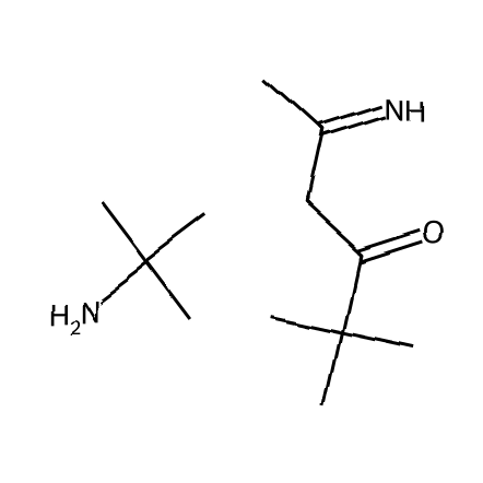 CC(=N)CC(=O)C(C)(C)C.CC(C)(C)N